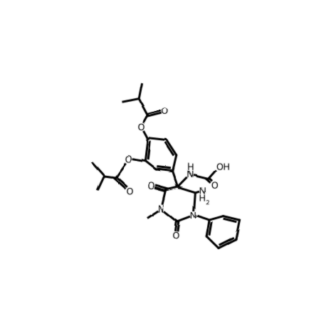 CC(C)C(=O)Oc1ccc(C2(NC(=O)O)C(=O)N(C)C(=O)N(c3ccccc3)C2N)cc1OC(=O)C(C)C